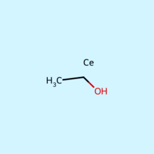 CCO.[Ce]